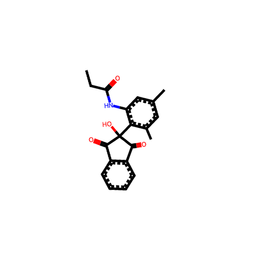 CCC(=O)Nc1cc(C)cc(C)c1C1(O)C(=O)c2ccccc2C1=O